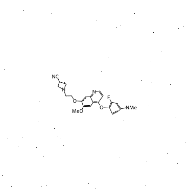 CNc1ccc(Oc2ccnc3cc(OCCN4CC(C#N)C4)c(OC)cc23)c(F)c1